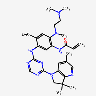 C=CC(=O)Nc1cc(Nc2ncnc(N3CC(C)(C)c4ncc(C)cc43)n2)c(OC)cc1N(C)CCN(C)C